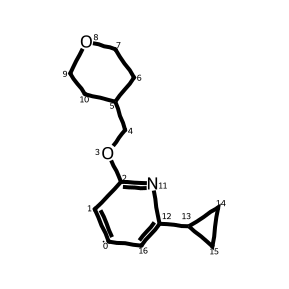 [c]1cc(OCC2CCOCC2)nc(C2CC2)c1